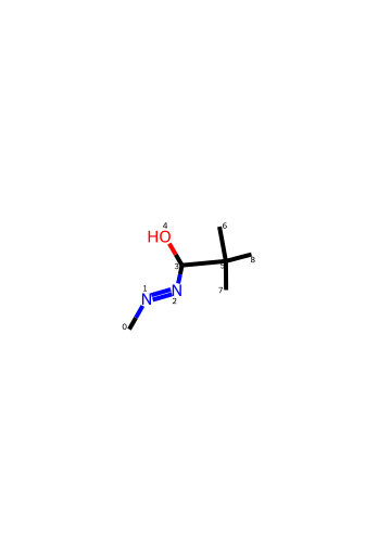 CN=NC(O)C(C)(C)C